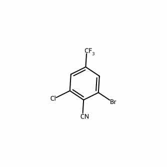 N#Cc1c(Cl)cc(C(F)(F)F)cc1Br